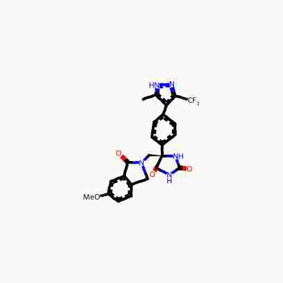 COc1ccc2c(c1)C(=O)N(C[C@@]1(c3ccc(-c4c(C(F)(F)F)n[nH]c4C)cc3)NC(=O)NC1=O)C2